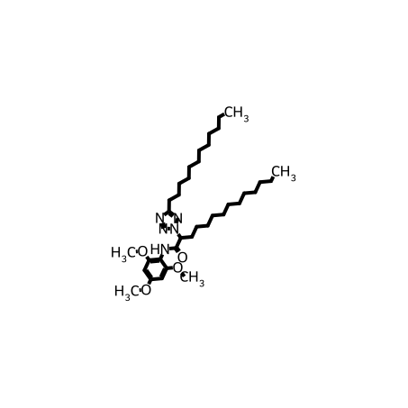 CCCCCCCCCCCCc1nnn(C(CCCCCCCCCCCC)C(=O)Nc2c(OC)cc(OC)cc2OC)n1